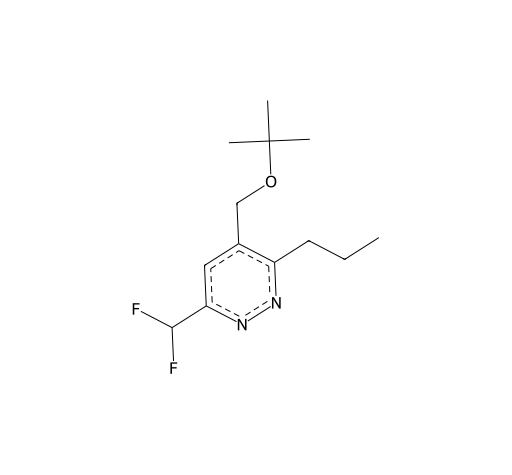 CCCc1nnc(C(F)F)cc1COC(C)(C)C